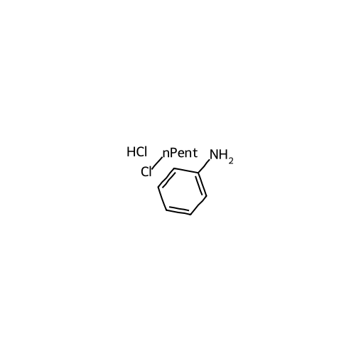 CCCCCCl.Cl.Nc1ccccc1